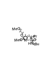 COCCCOc1cc(C[C@H](OC(=O)NC(C)(C)C)C(C)C)cnc1OC